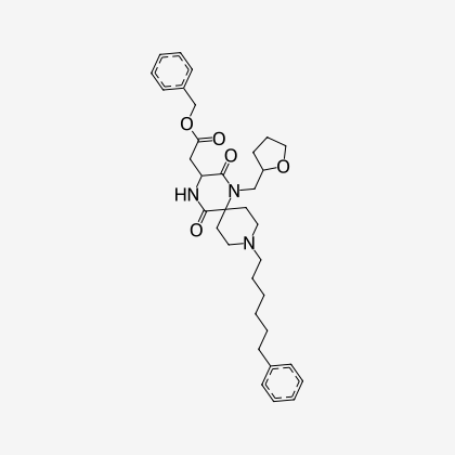 O=C(CC1NC(=O)C2(CCN(CCCCCCc3ccccc3)CC2)N(CC2CCCO2)C1=O)OCc1ccccc1